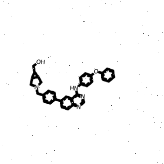 OCC1C2CN(Cc3ccc(-c4ccc5ncnc(Nc6ccc(Oc7ccccc7)cc6)c5c4)cc3)CC12